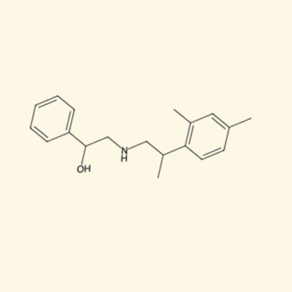 Cc1ccc(C(C)CNCC(O)c2ccccc2)c(C)c1